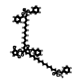 CP(=O)(CCCCCCCCCCCCCCC(CCCCCCCCCCCCCCP(=O)(OCc1ccccc1)OCc1ccccc1)(C(=O)OCc1ccccc1)C(=O)ON1C(=O)CCC1=O)OCc1ccccc1